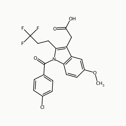 COc1ccc2c(c1)c(CC(=O)O)c(CCC(F)(F)F)n2C(=O)c1ccc(Cl)cc1